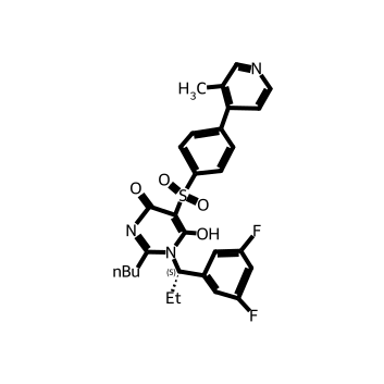 CCCCc1nc(=O)c(S(=O)(=O)c2ccc(-c3ccncc3C)cc2)c(O)n1[C@@H](CC)c1cc(F)cc(F)c1